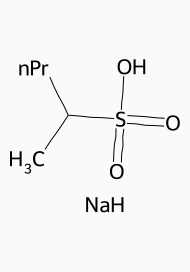 CCCC(C)S(=O)(=O)O.[NaH]